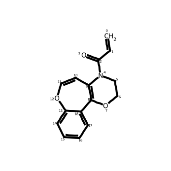 C=CC(=O)N1CCOC2=C1C=COc1ccccc12